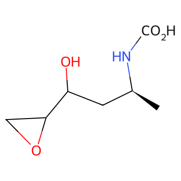 C[C@@H](CC(O)C1CO1)NC(=O)O